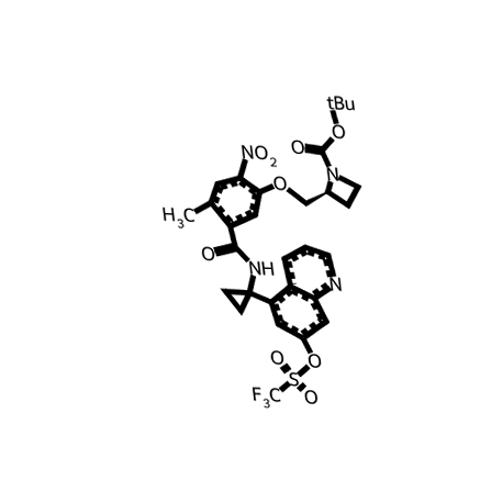 Cc1cc([N+](=O)[O-])c(OC[C@@H]2CCN2C(=O)OC(C)(C)C)cc1C(=O)NC1(c2cc(OS(=O)(=O)C(F)(F)F)cc3ncccc23)CC1